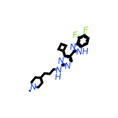 CN1CCC(CCCNc2ncc(-c3nc4c(F)c(F)ccc4[nH]3)c(C3CCC3)n2)CC1